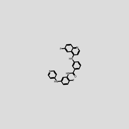 O=C(Nc1cc(Nc2ccncc2)ccc1F)c1cccc(Nc2ccnc3ccc(F)cc23)c1